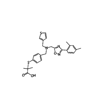 Cc1ccc(-c2noc(CN(Cc3ccc(SC(C)(C)C(=O)O)cc3)Cc3ccsc3)n2)c(C)c1